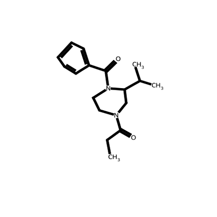 CCC(=O)N1CCN(C(=O)c2ccccc2)C(C(C)C)C1